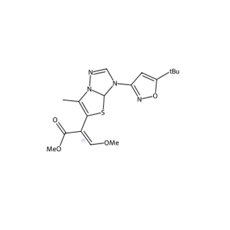 CO/C=C(/C(=O)OC)C1=C(C)N2N=CN(c3cc(C(C)(C)C)on3)C2S1